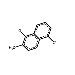 Cc1ccc2c(Cl)cccc2c1[O]